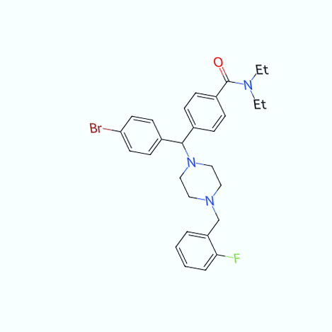 CCN(CC)C(=O)c1ccc(C(c2ccc(Br)cc2)N2CCN(Cc3ccccc3F)CC2)cc1